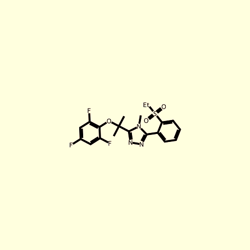 CCS(=O)(=O)c1ccccc1-c1nnc(C(C)(C)Oc2c(F)cc(F)cc2F)n1C